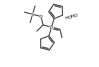 C[CH]=[Zr]([C]1=CC=CC1)([C]1=CC=CC1)[CH](C)O[Si](C)(C)C.Cl.Cl